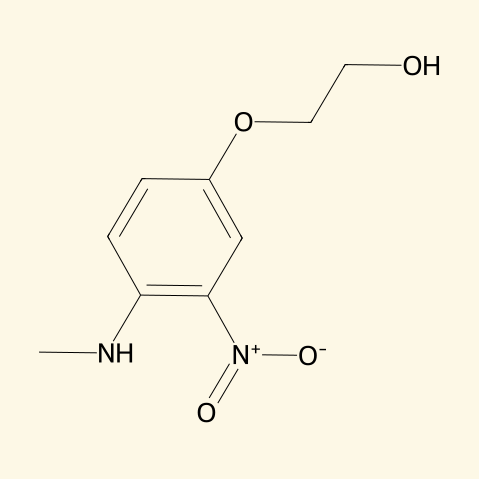 CNc1ccc(OCCO)cc1[N+](=O)[O-]